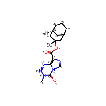 CCC1(OC(=O)c2ncn3c(=O)n(C)nnc23)CC2CCC[C@@H](C2)C1